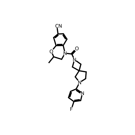 CC1CN(C(=O)N2CC3(CCN(c4ccc(F)cn4)C3)C2)c2ccc(C#N)cc2O1